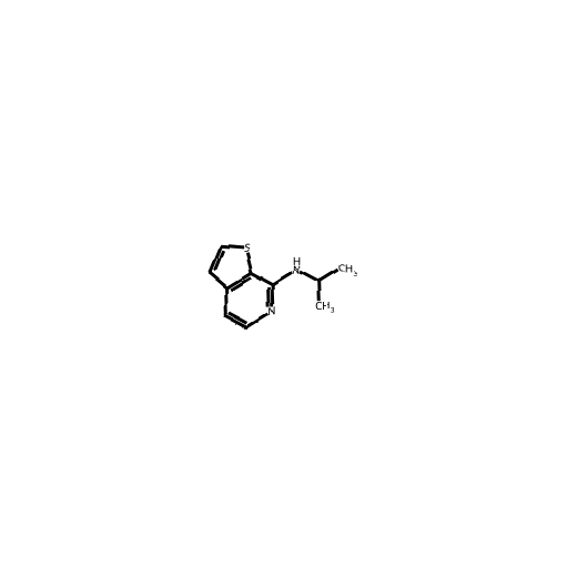 CC(C)Nc1nccc2ccsc12